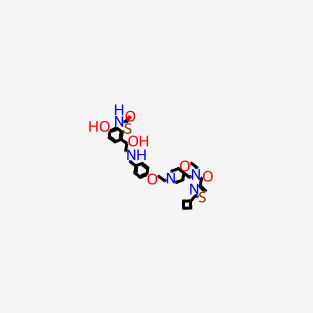 O=C(c1csc(C2CCC2)n1)N1CCOC2(CCN(CCOc3ccc(CNCC(O)c4ccc(O)c5[nH]c(=O)sc45)cc3)CC2)C1